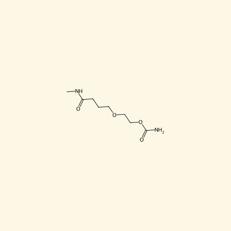 CNC(=O)CCCOCCOC(N)=O